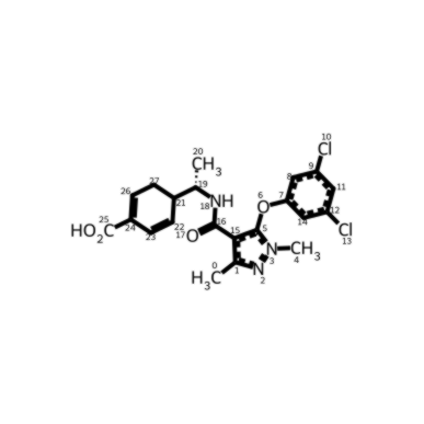 Cc1nn(C)c(Oc2cc(Cl)cc(Cl)c2)c1C(=O)N[C@@H](C)C1C=CC(C(=O)O)=CC1